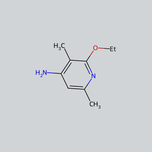 CCOc1nc(C)cc(N)c1C